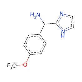 NC(c1ccc(OC(F)(F)F)cc1)c1ncc[nH]1